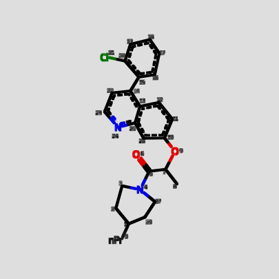 CCCC1CCN(C(=O)C(C)Oc2ccc3c(-c4ccccc4Cl)ccnc3c2)CC1